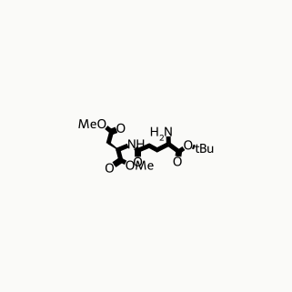 COC(=O)C[C@@H](NC(=O)CCC(N)C(=O)OC(C)(C)C)C(=O)OC